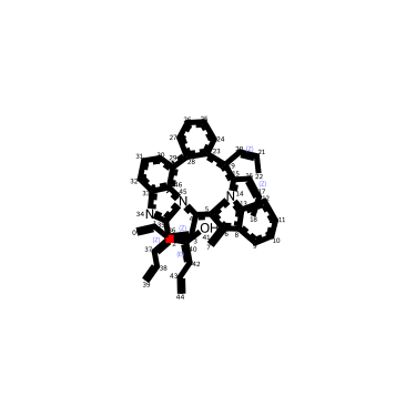 C=C/C=C\c1c2c(=C)c3ccccc3n2c(/C=C\C)c(/C=C\C)c2ccccc2c2cccc3nc(C(=C/C=C)/C(O)=C\C=C)n1c32